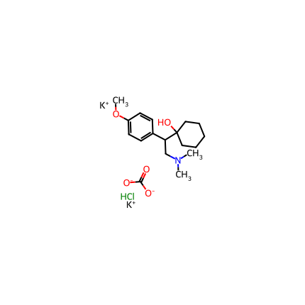 COc1ccc(C(CN(C)C)C2(O)CCCCC2)cc1.Cl.O=C([O-])[O-].[K+].[K+]